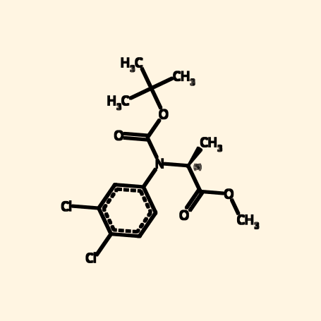 COC(=O)[C@H](C)N(C(=O)OC(C)(C)C)c1ccc(Cl)c(Cl)c1